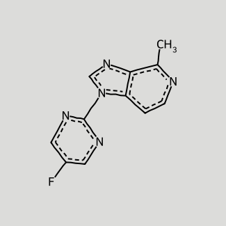 Cc1nccc2c1ncn2-c1ncc(F)cn1